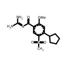 COc1cc(C2CCCC2)c(S(C)(=O)=O)cc1C(=O)N=C(N)N